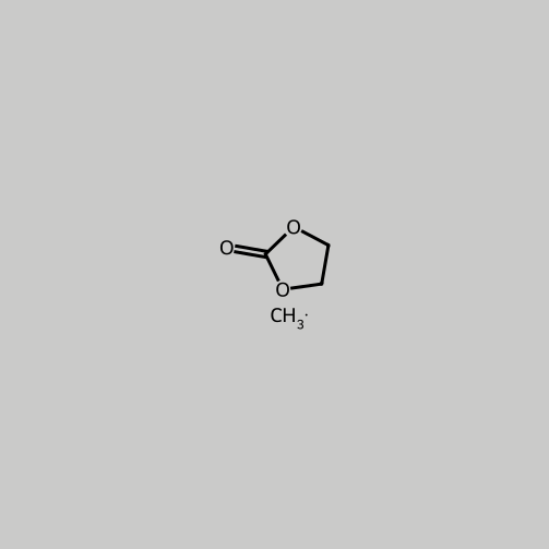 O=C1OCCO1.[CH3]